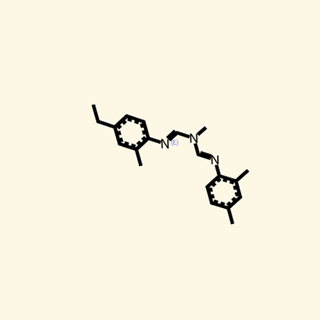 CCc1ccc(/N=C/N(C)C=Nc2ccc(C)cc2C)c(C)c1